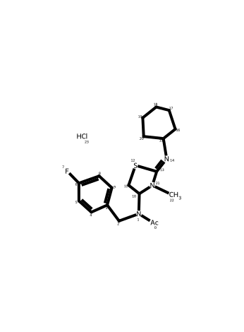 CC(=O)N(Cc1ccc(F)cc1)C1CSC(=NC2CCCCC2)N1C.Cl